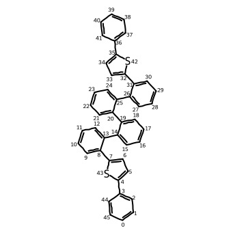 c1ccc(-c2ccc(-c3ccccc3-c3ccccc3-c3ccccc3-c3ccccc3-c3ccc(-c4ccccc4)s3)s2)cc1